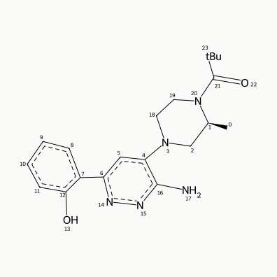 C[C@H]1CN(c2cc(-c3ccccc3O)nnc2N)CCN1C(=O)C(C)(C)C